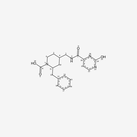 O=C(NCC1CCN(C(=O)O)C(Cc2ccccc2)C1)c1ccnc(O)n1